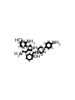 Cl.NCC1(O)CCCCC1.NCCc1c[nH]cn1.Nc1ccc(N2CCOCC2)cc1.Nc1cnccn1